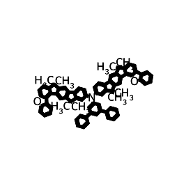 CC1(C)c2cc(N(c3cc(-c4ccccc4)cc(-c4ccccc4)c3)c3ccc4c(c3)C(C)(C)c3cc5c(cc3-4)C(C)(C)c3ccc4oc6ccccc6c4c3-5)ccc2-c2cc3c(cc21)-c1c(ccc2c1oc1ccccc12)C3(C)C